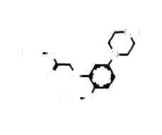 COC(=O)COc1cc(N2CCNCC2)ccc1OC